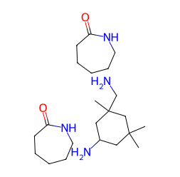 CC1(C)CC(N)CC(C)(CN)C1.O=C1CCCCCN1.O=C1CCCCCN1